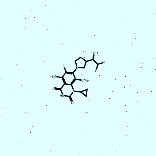 COc1c(N2CCC(C(N)C(F)F)C2)c(F)c(C)c2c(=O)[nH]c(=O)n(C3CC3)c12